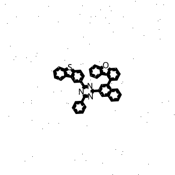 c1ccc(-c2nc(-c3cc(-c4cccc5oc6ccccc6c45)c4ccccc4c3)nc(-c3ccc4sc5ccccc5c4c3)n2)cc1